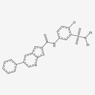 CCN(CC)S(=O)(=O)c1cc(NC(=O)c2cc3cc(-c4ccccc4)cnc3s2)ccc1Cl